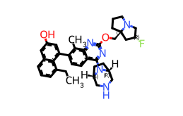 CCc1cccc2cc(O)cc(-c3ccc4c(N5[C@@H]6CC[C@H]5CNC6)nc(OC[C@@]56CCCN5C[C@H](F)C6)nc4c3C)c12